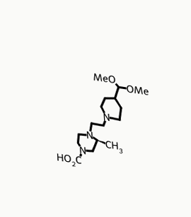 COC(OC)C1CCN(CCN2CCN(C(=O)O)C[C@@H]2C)CC1